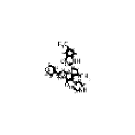 C[C@@H]1C[C@@H](C(=O)Nc2ccc(C(F)(F)F)cc2Cl)n2c1c(N1CCNCC1)c(=O)n1nc(C3=CCOCC3)nc21